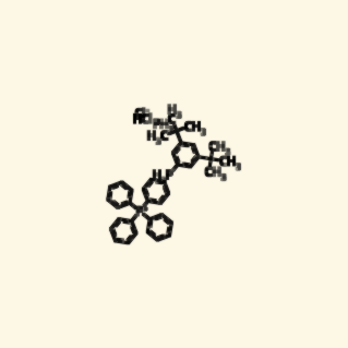 CC(C)(C)c1cc(P)cc(C(C)(C)C)c1.Cl.P.[Cl-].c1ccc([P+](c2ccccc2)(c2ccccc2)c2ccccc2)cc1